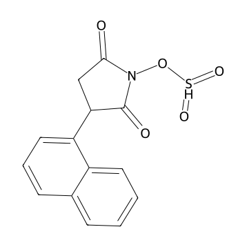 O=C1CC(c2cccc3ccccc23)C(=O)N1O[SH](=O)=O